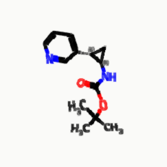 CC(C)(C)OC(=O)N[C@@H]1C[C@H]1c1cccnc1